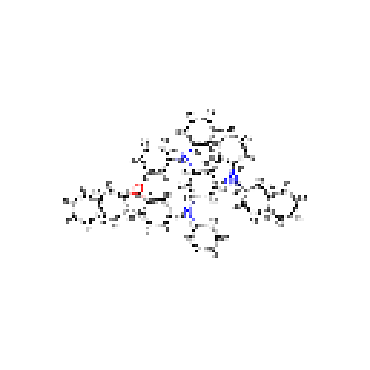 c1ccc(N(c2ccc3c(c2)oc2cc4ccccc4cc23)c2cc(N(c3ccccc3)c3ccccc3)c3c4ccccc4n(-c4ccc5ccccc5c4)c3c2)cc1